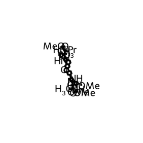 COC[C@H]1CC(c2ncc(-c3ccc4c(c3)COc3cc5c(ccc6nc([C@@H]7CC[C@H](C)N7C(=O)C(NC(=O)OC)C(C)C)[nH]c65)cc3-4)[nH]2)N(C(=O)[C@@H](NC(=O)OC)[C@@H](C)OC)C1